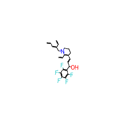 C=C/C=C(\C=C)CN1CCCC(/C=C/C(O)c2c(F)c(F)c(F)c(F)c2F)=C1C=C